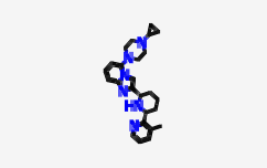 Cc1cccnc1[C@@H]1CCC[C@H](c2cn3c(N4CCN(C5CC5)CC4)cccc3n2)N1